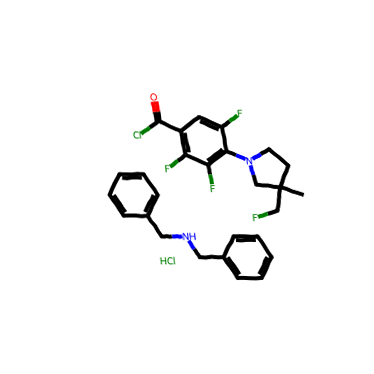 CC1(CF)CCN(c2c(F)cc(C(=O)Cl)c(F)c2F)C1.Cl.c1ccc(CNCc2ccccc2)cc1